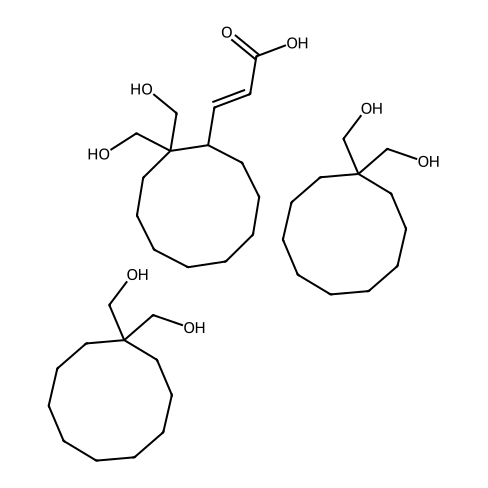 O=C(O)C=CC1CCCCCCCCC1(CO)CO.OCC1(CO)CCCCCCCCC1.OCC1(CO)CCCCCCCCC1